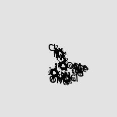 COc1ccc([I+]c2ccc(OC)c(Cc3ccc(Cl)nn3)c2)cc1Cc1ccc(Cl)nn1.[O-][Cl+3]([O-])([O-])[O-]